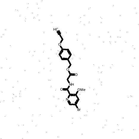 C#CCOc1ccc(COC(=O)CNC(=O)c2ncc(Br)cc2OC)cc1